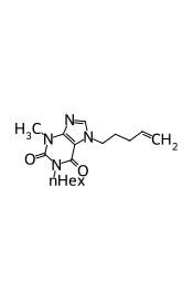 C=CCCCn1cnc2c1c(=O)n(CCCCCC)c(=O)n2C